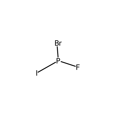 FP(Br)I